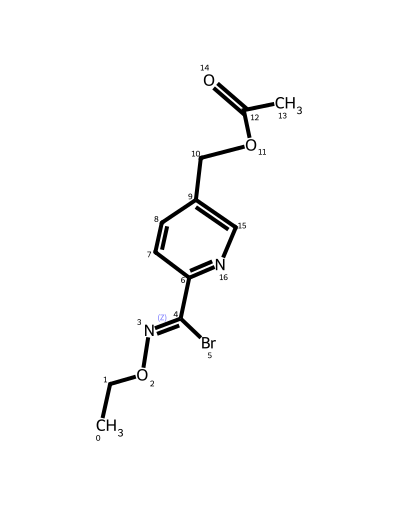 CCO/N=C(\Br)c1ccc(COC(C)=O)cn1